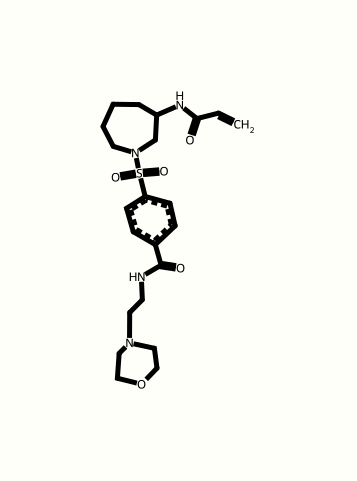 C=CC(=O)NC1CCCCN(S(=O)(=O)c2ccc(C(=O)NCCN3CCOCC3)cc2)C1